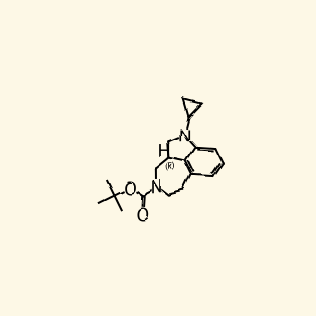 CC(C)(C)OC(=O)N1CCc2cccc3c2[C@@H](C1)CN3C1CC1